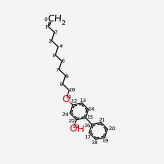 C=CCCCCCCCCCOc1ccc(-c2ccccc2)c(O)c1